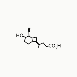 C#CC1C(O)CCC2C(=C(C)CCC(=O)O)CC21